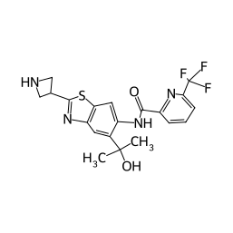 CC(C)(O)c1cc2nc(C3CNC3)sc2cc1NC(=O)c1cccc(C(F)(F)F)n1